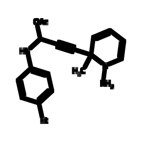 CCc1ccc(NC(C#CC2(C)C=CC=CN2N)OC(C)=O)cc1